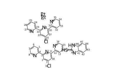 Clc1cc(-c2ccccn2)nc(-c2ccccn2)c1.Clc1cc(-c2ccccn2)nc(-c2ccccn2)c1.Sc1nc2ccccc2[nH]1.[Pt].[Pt]